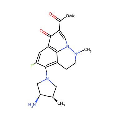 COC(=O)c1cn2c3c(c(N4C[C@@H](C)[C@@H](N)C4)c(F)cc3c1=O)CCN2C